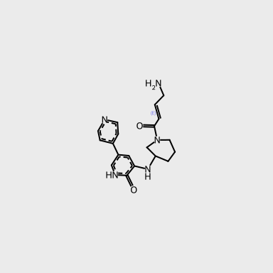 NC/C=C/C(=O)N1CCCC(Nc2cc(-c3ccncc3)c[nH]c2=O)C1